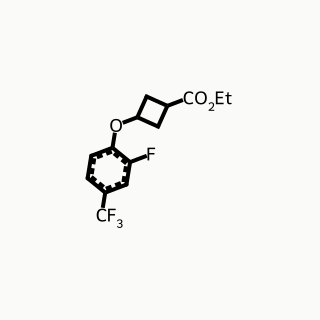 CCOC(=O)C1CC(Oc2ccc(C(F)(F)F)cc2F)C1